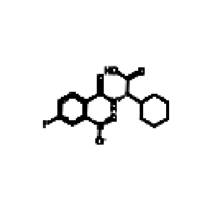 O=C(N[C@H](C(=O)O)C1CCCCC1)c1ccc(F)cc1[N+](=O)[O-]